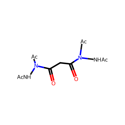 CC(=O)NN(C(C)=O)C(=O)CC(=O)N(NC(C)=O)C(C)=O